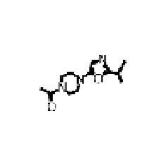 CC(=O)N1CCN(c2cnc(C(C)C)o2)CC1